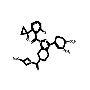 COC1CN(C(=O)C2CCc3c(C4=C[C@H](C)[C@H](C(=O)O)CC4)nn(C(=O)c4c(Cl)cccc4C4(C(F)(F)F)CC4)c3C2)C1